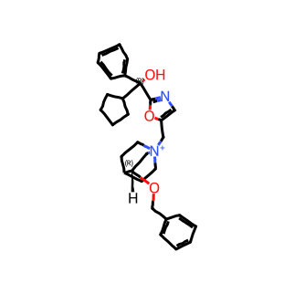 O[C@](c1ccccc1)(c1ncc(C[N+]23CCC(CC2)[C@@H](OCc2ccccc2)C3)o1)C1CCCC1